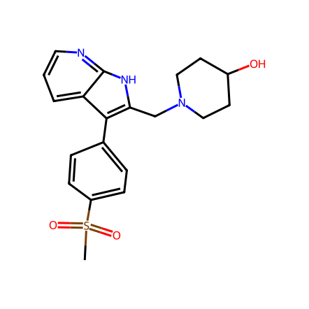 CS(=O)(=O)c1ccc(-c2c(CN3CCC(O)CC3)[nH]c3ncccc23)cc1